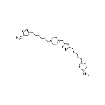 Cc1cc(CCCCCCN2CCN(Cc3cc(CCCCCN4CCN(C)CC4)no3)CC2)no1